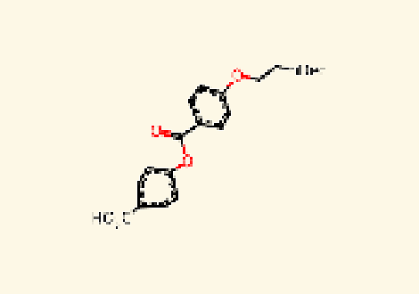 CCCCCCCCCCCCOc1ccc(C(=O)Oc2ccc(C(=O)O)cc2)cc1